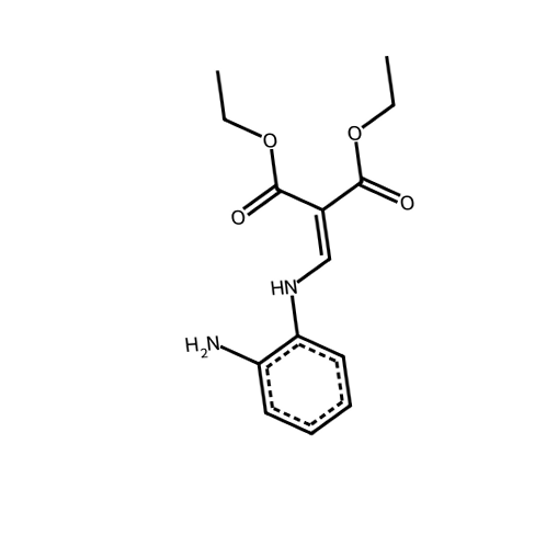 CCOC(=O)C(=CNc1ccccc1N)C(=O)OCC